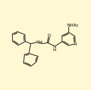 CC(=O)Nc1cncc(NC(=O)CNC(c2ccccc2)c2ccccc2)c1